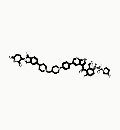 CCc1c(NS(=O)(=O)N2CC[C@@H](F)C2)ccc(F)c1C(=O)c1c[nH]c2ncc(-c3ccc(N4CCC(CN5CCC(c6ccc7c(c6)CN(C6CCC(=O)NC6=O)C7=O)CC5)CC4)cc3)cc12